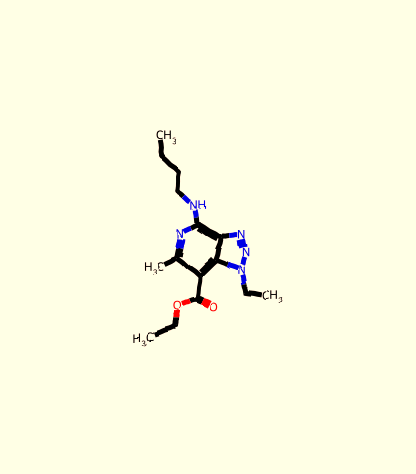 CCCCNc1nc(C)c(C(=O)OCC)c2c1nnn2CC